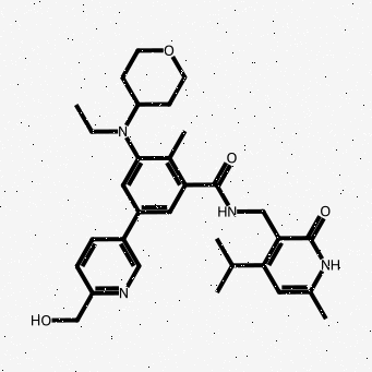 CCN(c1cc(-c2ccc(CO)nc2)cc(C(=O)NCc2c(C(C)C)cc(C)[nH]c2=O)c1C)C1CCOCC1